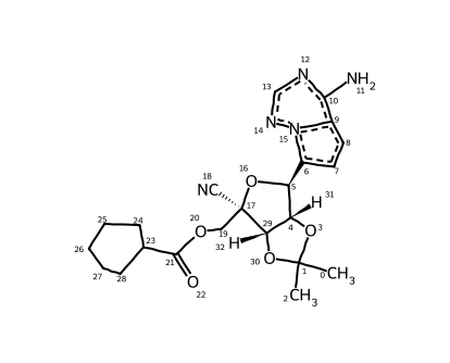 CC1(C)O[C@H]2[C@H](c3ccc4c(N)ncnn34)O[C@](C#N)(COC(=O)C3CCCCC3)[C@H]2O1